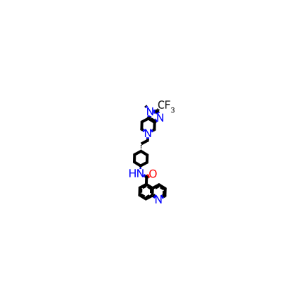 Cn1c(C(F)(F)F)nc2c1CCN(CC[C@H]1CC[C@H](NC(=O)c3cccc4ncccc34)CC1)C2